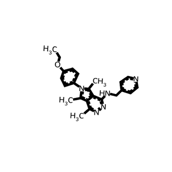 CCOc1ccc(-n2c(C)c3c(C)nnc(NCc4ccncc4)c3c2C)cc1